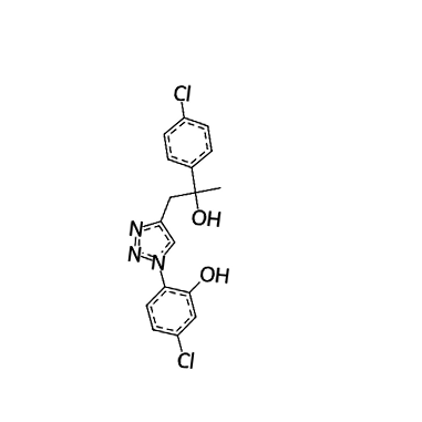 CC(O)(Cc1cn(-c2ccc(Cl)cc2O)nn1)c1ccc(Cl)cc1